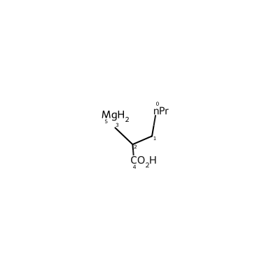 CCCCC(C)C(=O)O.[MgH2]